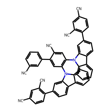 N#Cc1cccc(-c2cc(-n3c4ccccc4c4ccc(-c5ccc(C#N)cc5C#N)cc43)c(-n3c4ccccc4c4ccc(-c5ccc(C#N)cc5C#N)cc43)cc2C#N)c1